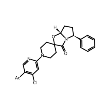 CC(=O)c1cnc(N2CCC3(CC2)O[C@@H]2CC[C@@H](c4ccccc4)N2C3=O)cc1Cl